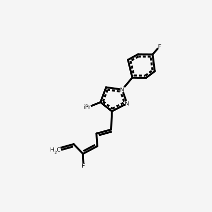 C=C/C(F)=C\C=C\c1nn(-c2ccc(F)cc2)cc1C(C)C